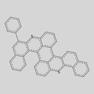 c1ccc(-c2cc3ccccc3c3c2sc2cccc4c2c3c2cccc3sc5c6ccccc6ccc5c4c32)cc1